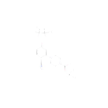 CC(C)(C)OC(=O)N1CCN(c2cc(B3OC(C)(C)C(C)(C)O3)ccc2C#N)CC1